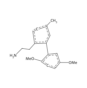 COc1ccc(OC)c(-c2cc(C)ccc2CCN)c1